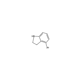 CC(C)c1cccc2c1CCB2